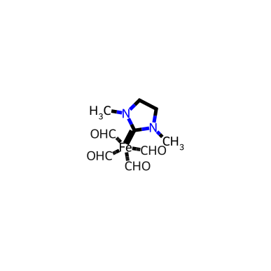 CN1CCN(C)[C]1=[Fe]([CH]=O)([CH]=O)([CH]=O)[CH]=O